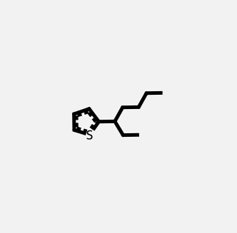 CCCCC(CC)c1cccs1